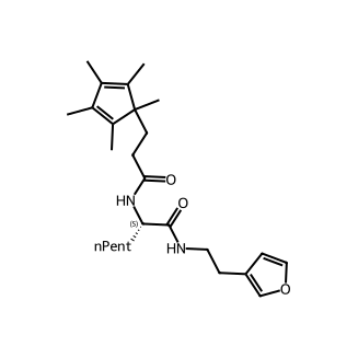 CCCCC[C@H](NC(=O)CCC1(C)C(C)=C(C)C(C)=C1C)C(=O)NCCc1ccoc1